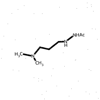 CC(=O)NNCCCN(C)C